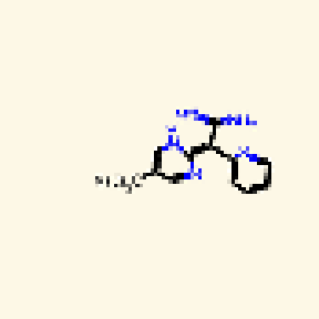 CCOC(=O)C1=CN/C(=C(\C(=N)N)c2ccccn2)N=C1